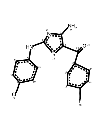 Nc1nc(Nc2ccc(Cl)cc2)sc1C(=O)c1ccc(F)cc1